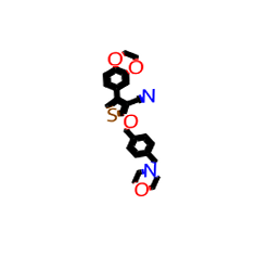 N#Cc1c(-c2ccc3c(c2)OCCO3)csc1OCc1ccc(CN2CCOCC2)cc1